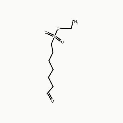 CCOS(=O)(=O)CCCCCC[C]=O